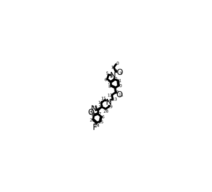 CCC(=O)N1CCc2cc(C(=O)CCN3CCC(c4noc5cc(F)ccc45)CC3)ccc21